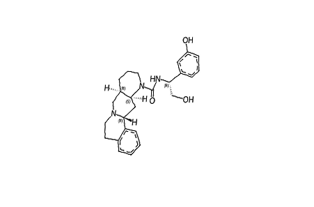 O=C(N[C@@H](CO)c1cccc(O)c1)N1CCC[C@@H]2CN3CCc4ccccc4[C@H]3C[C@@H]21